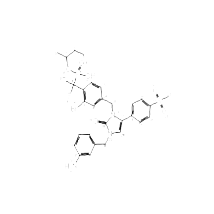 CCC(C)OP(=O)(O)C(F)(F)c1ccc(Cn2c(-c3ccc(S(C)(=O)=O)cc3)cn(Cc3cccc(N)c3)c2=O)cc1Br